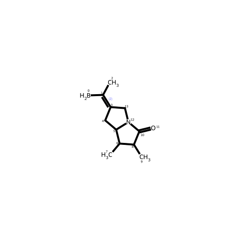 B/C(C)=C1\CC2C(C)C(C)C(=O)N2C1